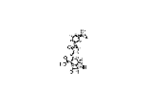 O=C(O)C1=C(/C=C2\CCN(c3cccc([N+](=O)[O-])c3)C2=O)C[C@@H]2CN[C@@H]3C(=O)N1[C@H]23